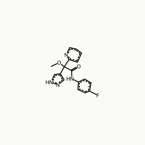 COC(C(=O)Nc1ccc(F)cc1)(c1cn[nH]c1)c1ccccn1